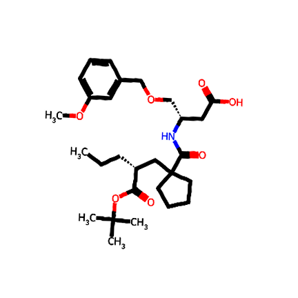 CCC[C@H](CC1(C(=O)N[C@H](COCc2cccc(OC)c2)CC(=O)O)CCCC1)C(=O)OC(C)(C)C